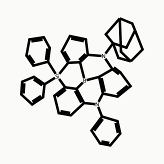 c1ccc(N2c3cccc4c3B3c5c2cccc5[Si](c2ccccc2)(c2ccccc2)c2cccc(c23)N4C23CC4CC(CC(C4)C2)C3)cc1